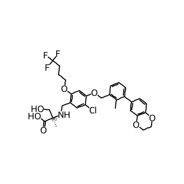 Cc1c(COc2cc(OCCCC(F)(F)F)c(CN[C@](C)(CO)C(=O)O)cc2Cl)cccc1-c1ccc2c(c1)OCCO2